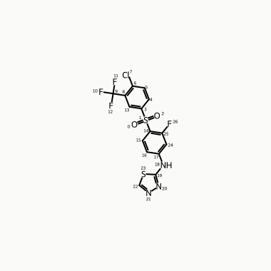 O=S(=O)(c1ccc(Cl)c(C(F)(F)F)c1)c1ccc(Nc2nncs2)cc1F